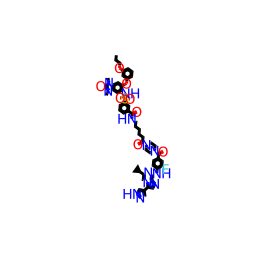 CCCOc1cccc(Oc2cc3c(cc2NS(=O)(=O)c2cccc(C(=O)NCCCCCC(=O)N4CCN(C(=O)c5ccc(Nc6nc(C7CC7)cn7c(-c8cn[nH]c8)cnc67)c(F)c5)CC4)c2)n(C)c(=O)n3C)c1